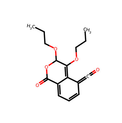 CCCOC1=c2c(cccc2=C=O)C(=O)OC1OCCC